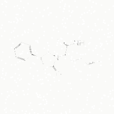 NC(=O)C(CCC=O)N1C[C@H](c2ccccc2)OC1=O